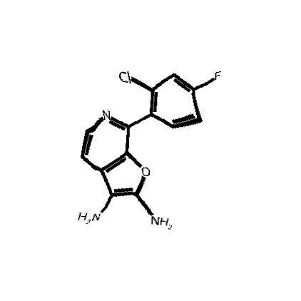 Nc1oc2c(-c3ccc(F)cc3Cl)nccc2c1N